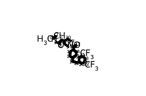 CN(C)Cc1cc2c(o1)CN(C(=O)c1ccc(/C=C\c3cc(C(F)(F)F)cc(C(F)(F)F)c3)cc1)CC2